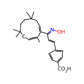 CC1=C/CC(C)(C)CCC(C)(C)C/C=C\1C(/C=C/c1ccc(C(=O)O)cc1)=N/O